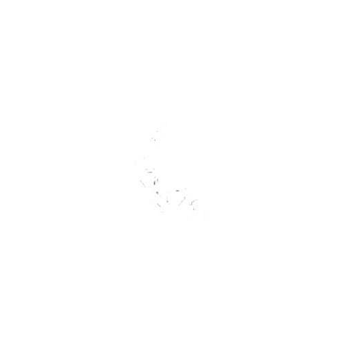 CC(C)(CC(F)(F)F)N1CCC(Oc2ccc(-n3ccc4cc(C(=O)N5CCC5)ccc43)nc2)CC1